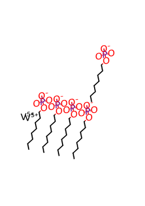 CCCCCCCCOP(=O)([O-])[O-].CCCCCCCCOP(=O)([O-])[O-].CCCCCCCCOP(=O)([O-])[O-].CCCCCCCCOP(=O)([O-])[O-].CCCCCCCCOP(=O)([O-])[O-].[V+5].[V+5]